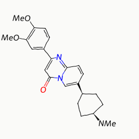 CN[C@H]1CC[C@@H](c2ccc3nc(-c4ccc(OC)c(OC)c4)cc(=O)n3c2)CC1